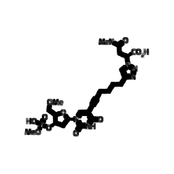 CNC(=O)C[C@@H](C(=O)O)n1cc(CCCCC#Cc2cn([C@H]3C[C@@H](OP(=O)(O)OC)C(COC)O3)c(=O)[nH]c2=O)nn1